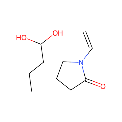 C=CN1CCCC1=O.CCCC(O)O